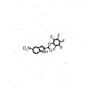 O=C(Oc1c(F)c(F)c(F)c(F)c1F)c1cc2cc([N+](=O)[O-])ccc2[nH]1